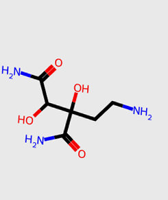 NCCC(O)(C(N)=O)C(O)C(N)=O